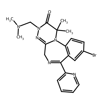 CN(C)CN1N=C2CN=C(c3ccccn3)c3cc(Br)ccc3N2C(C)(C)C1=O